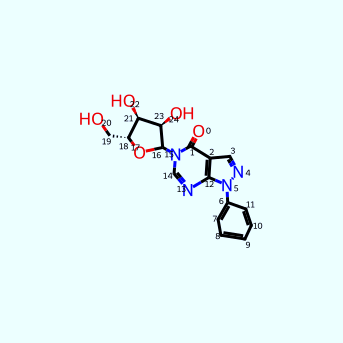 O=c1c2cnn(-c3ccccc3)c2ncn1C1O[C@H](CO)[C@@H](O)[C@H]1O